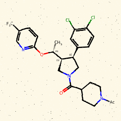 CC(=O)N1CCC(C(=O)N2C[C@@H]([C@@H](C)Oc3ccc(C(F)(F)F)cn3)[C@@H](c3ccc(Cl)c(Cl)c3)C2)CC1